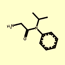 CC(C)N(C(=O)CN)c1ccccc1